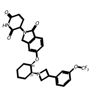 O=C1CCC(N2Cc3cc(O[C@@H]4CCCC[C@@H]4N4CC(c5cccc(OC(F)(F)F)c5)C4)ccc3C2=O)C(=O)N1